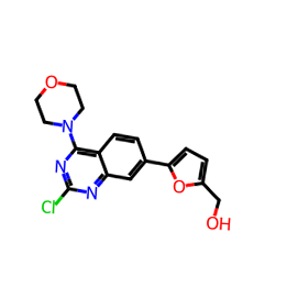 OCc1ccc(-c2ccc3c(N4CCOCC4)nc(Cl)nc3c2)o1